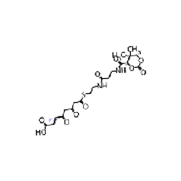 CC1(C)COC(=O)O[C@H]1C(=O)NCCC(=O)NCCSC(=O)CC(=O)CC(=O)/C=C/C(=O)O